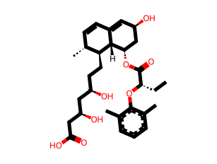 CC[C@H](Oc1c(C)cccc1C)C(=O)O[C@H]1C[C@H](O)C=C2C=C[C@@H](C)[C@H](CC[C@@H](O)C[C@@H](O)CC(=O)O)[C@H]21